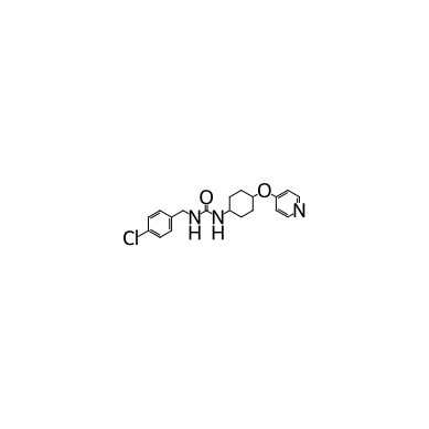 O=C(NCc1ccc(Cl)cc1)NC1CCC(Oc2ccncc2)CC1